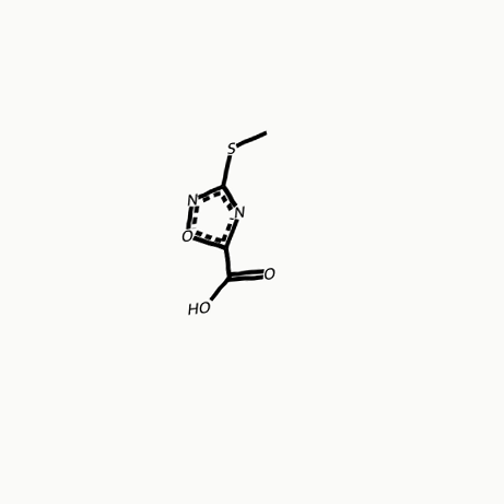 CSc1noc(C(=O)O)n1